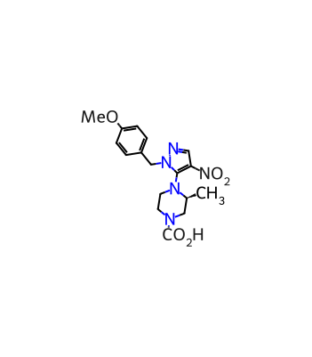 COc1ccc(Cn2ncc([N+](=O)[O-])c2N2CCN(C(=O)O)C[C@@H]2C)cc1